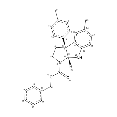 Cc1ccc([C@]23CCN(C(=O)OCc4ccccc4)[C@H]2Nc2ccc(C)cc23)cc1